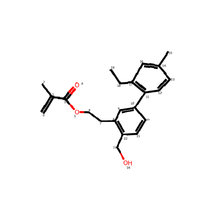 C=C(C)C(=O)OCCc1cc(-c2ccc(C)cc2CC)ccc1CO